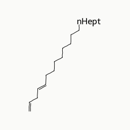 C=CCC=CCCCCCCCCCCCCCCC